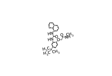 CNC(=O)COc1ccc(C(C)(C)C)cc1NC(=O)Nc1cccc2ccccc12